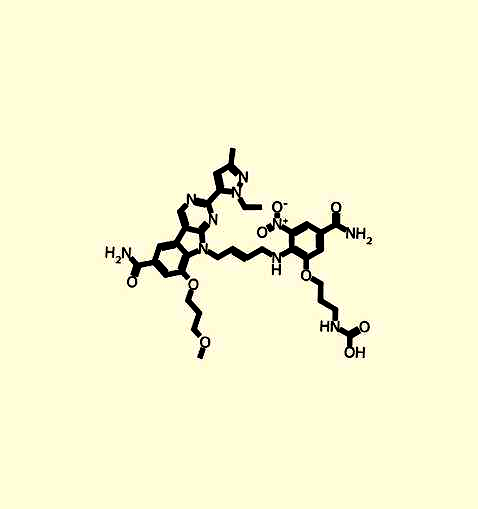 CCn1nc(C)cc1-c1ncc2c3cc(C(N)=O)cc(OCCCOC)c3n(CC=CCNc3c(OCCCNC(=O)O)cc(C(N)=O)cc3[N+](=O)[O-])c2n1